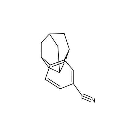 N#Cc1ccc2c(c1)C1CC3CC(CC2C3)C1